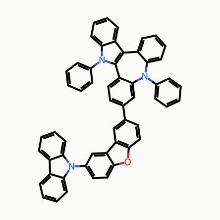 c1ccc(N2c3ccccc3-c3c(n(-c4ccccc4)c4ccccc34)-c3ccc(-c4ccc5oc6ccc(-n7c8ccccc8c8ccccc87)cc6c5c4)cc32)cc1